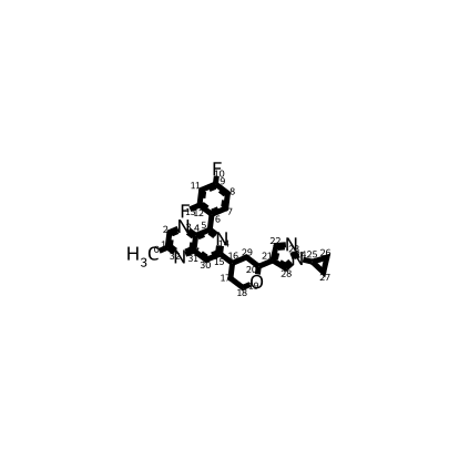 Cc1cnc2c(-c3ccc(F)cc3F)nc(C3CCOC(c4cnn(C5CC5)c4)C3)cc2n1